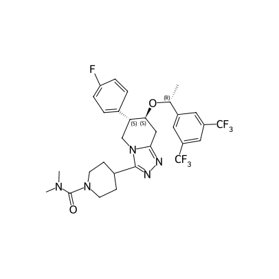 C[C@@H](O[C@H]1Cc2nnc(C3CCN(C(=O)N(C)C)CC3)n2C[C@@H]1c1ccc(F)cc1)c1cc(C(F)(F)F)cc(C(F)(F)F)c1